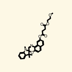 COCCOC(=O)CCC(=O)Oc1ccc2ccc3c(c2c1)N=CC1(O3)N(C)c2ccccc2C1(C)C